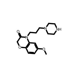 COc1ccc2c(c1)N(CCCN1CCNCC1)C(=O)CO2